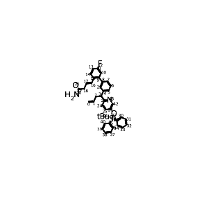 C=CCC(c1cccc(-c2cc(F)ccc2C=CCC(N)=O)c1)c1ccc(O[Si](c2ccccc2)(c2ccccc2)C(C)(C)C)cn1